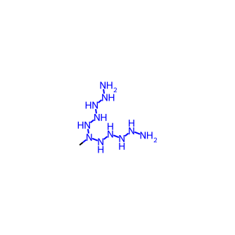 CN(NNNNN)NNNNN